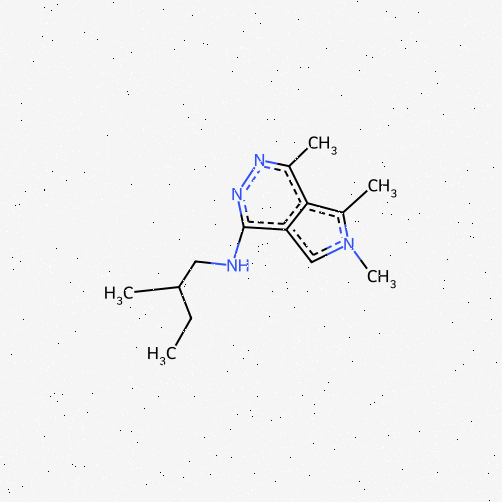 CCC(C)CNc1nnc(C)c2c(C)n(C)cc12